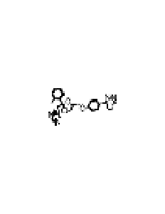 Cc1ccccc1C1(Cn2cncn2)OCC(COc2ccc(-c3nnco3)cc2)O1